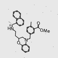 COC(=O)c1cc(CN2CC(CCN[C@H](C)c3cccc4ccccc34)Oc3ccccc32)ccc1C